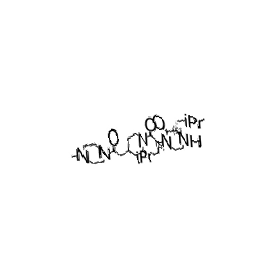 CC(C)C[C@@H]1NCCN([C@@H](CC(C)C)C(=O)N2CCC(CC(=O)N3CCN(C)CC3)CC2)C1=O